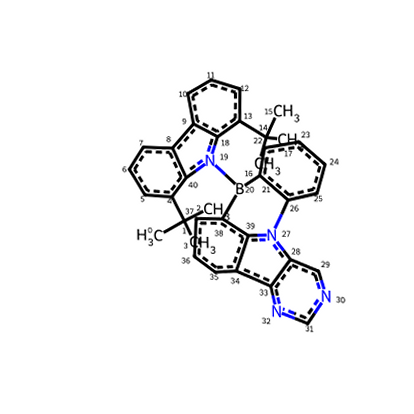 CC(C)(C)c1cccc2c3cccc(C(C)(C)C)c3n(B3c4ccccc4-n4c5cncnc5c5cccc3c54)c12